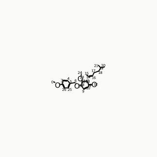 COc1ccc(CO[C@@H]2C=CC(=O)[C@@H](C(C)=CCCC(C)C)[C@@H]2OC)cc1